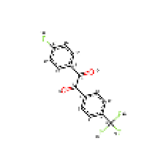 O=C(C(=O)c1ccc(C(F)(F)F)cc1)c1ccc(F)cc1